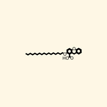 CCCCCCCCCCCCCCCCCOc1ccc2c(c1C(=O)O)Cc1ccccc1O2